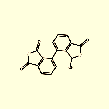 O=C1OC(=O)c2c1cccc2-c1cccc2c1C(O)OC2=O